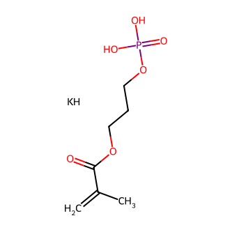 C=C(C)C(=O)OCCCOP(=O)(O)O.[KH]